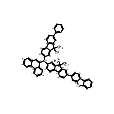 CC1(C)c2cc(-c3ccccc3)ccc2-c2ccc(N(c3ccc4c(c3)C(C)(C)c3cc(-c5ccc6c(c5)oc5ccccc56)ccc3-4)c3cc4ccccc4c4ccccc34)cc21